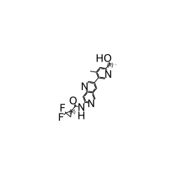 Cc1cc([C@@H](C)O)ncc1-c1cnc2cc(NC(=O)[C@H]3CC3(F)F)ncc2c1